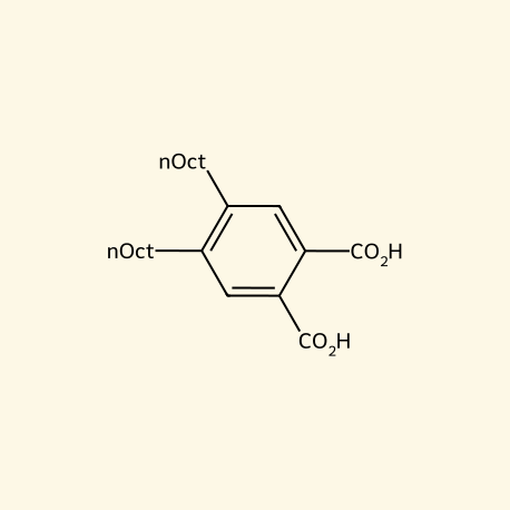 CCCCCCCCc1cc(C(=O)O)c(C(=O)O)cc1CCCCCCCC